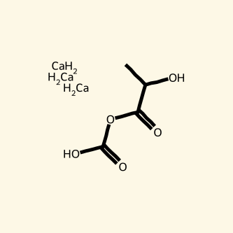 CC(O)C(=O)OC(=O)O.[CaH2].[CaH2].[CaH2]